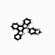 c1ccc2c(c1)oc1c2c2ccccc2c2c3ccccc3n(-c3ccc4ncoc4c3)c12